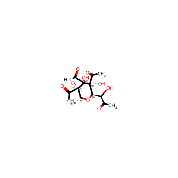 CC(=O)C(O)[C@H]1O[C@H](Br)[C@@](O)(C(C)=O)[C@](O)(C(C)=O)[C@@]1(O)C(C)=O